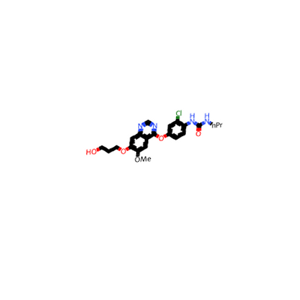 CCCNC(=O)Nc1ccc(Oc2ncnc3cc(OCCCO)c(OC)cc23)cc1Cl